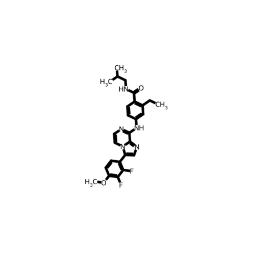 CCc1cc(Nc2nccn3c(-c4ccc(OC)c(F)c4F)cnc23)ccc1C(=O)NCC(C)C